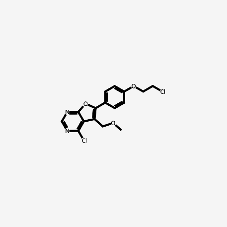 COCc1c(-c2ccc(OCCCl)cc2)oc2ncnc(Cl)c12